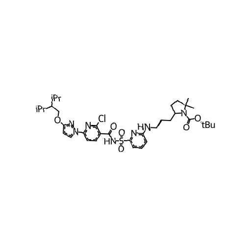 CC(C)C(COc1ccn(-c2ccc(C(=O)NS(=O)(=O)c3cccc(NCCCC4CCC(C)(C)N4C(=O)OC(C)(C)C)n3)c(Cl)n2)n1)C(C)C